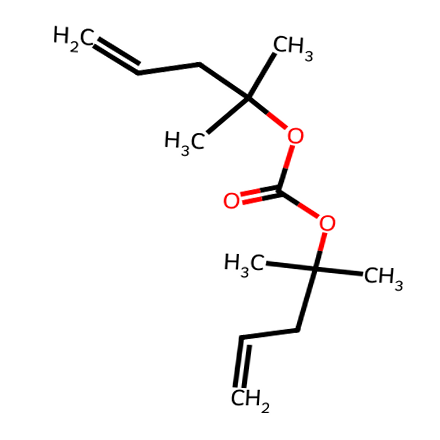 C=CCC(C)(C)OC(=O)OC(C)(C)CC=C